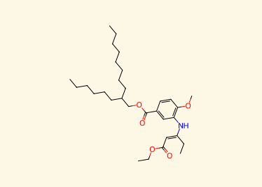 CCCCCCCCC(CCCCCC)COC(=O)c1ccc(OC)c(NC(=CC(=O)OCC)CC)c1